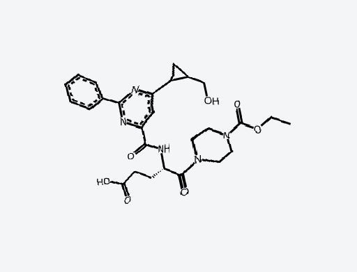 CCOC(=O)N1CCN(C(=O)[C@H](CCC(=O)O)NC(=O)c2cc(C3CC3CO)nc(-c3ccccc3)n2)CC1